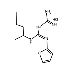 CCCC(C)NC(=Nc1ccco1)NC(=N)N.Cl